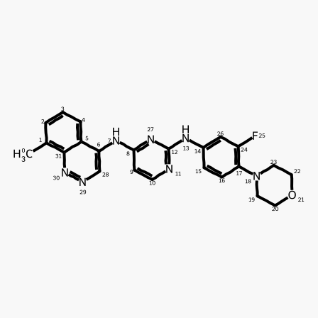 Cc1cccc2c(Nc3ccnc(Nc4ccc(N5CCOCC5)c(F)c4)n3)cnnc12